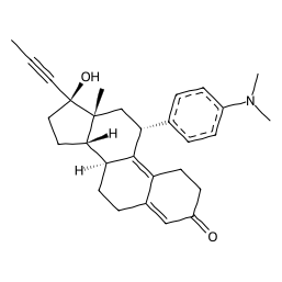 CC#C[C@@]1(O)CC[C@H]2[C@@H]3CCC4=CC(=O)CCC4=C3[C@@H](c3ccc(N(C)C)cc3)C[C@]21C